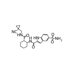 N#CC1(CNC(=O)[C@@H]2CCCC[C@@H]2NC(=O)c2cc3cc(S(N)(=O)=O)ccc3[nH]2)CC1